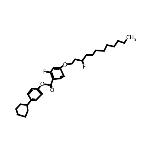 CCCCCCCCCC(F)CCOc1ccc(C(=O)Oc2ccc(C3CC[CH]CC3)cc2)c(F)c1